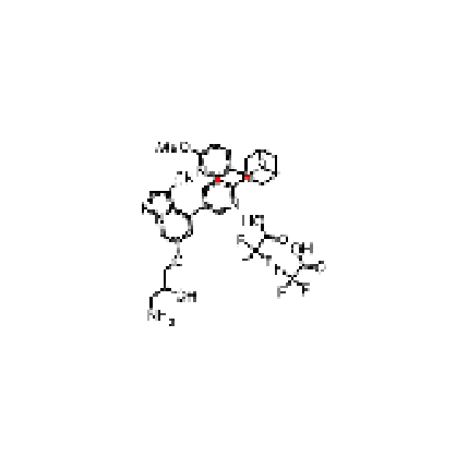 COc1ccc(CN2C3CC2CN(c2ccc(-c4cc(OCC(O)CN)cn5ncc(C#N)c45)cn2)C3)cn1.O=C(O)C(F)(F)F.O=C(O)C(F)(F)F